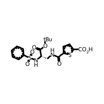 CC(C)(C)OC(=O)[C@H](CNC(=O)c1ccc(C(=O)O)s1)NS(=O)(=O)c1ccccc1